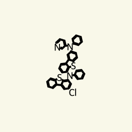 Clc1cc(N(c2ccccc2)c2cccc3c2sc2ccc(N(c4ccccc4)c4cccnc4)cc23)c2sc3ccccc3c2c1